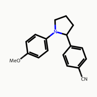 COc1ccc(N2CCCC2c2ccc(C#N)cc2)cc1